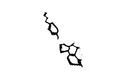 C=CCCc1ccc(COc2ccc3c(c2F)C(F)(F)C(F)(F)c2c-3ccc(CCC)c2F)cc1